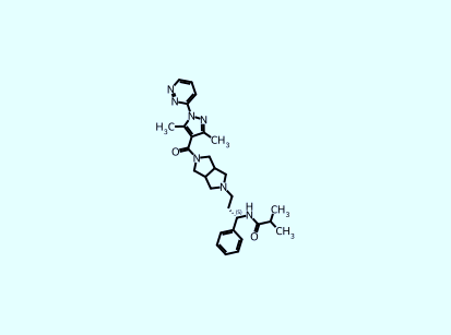 Cc1nn(-c2cccnn2)c(C)c1C(=O)N1CC2CN(CC[C@H](NC(=O)C(C)C)c3ccccc3)CC2C1